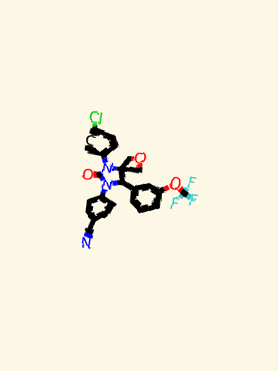 N#Cc1ccc(N2C(=O)N(c3ccc(Cl)cc3)C3(COC3)C2c2cccc(OC(F)(F)F)c2)cc1